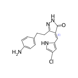 Nc1ccc(CCC2=NNC(=O)/C2=C/c2cc(Cl)c[nH]2)cc1